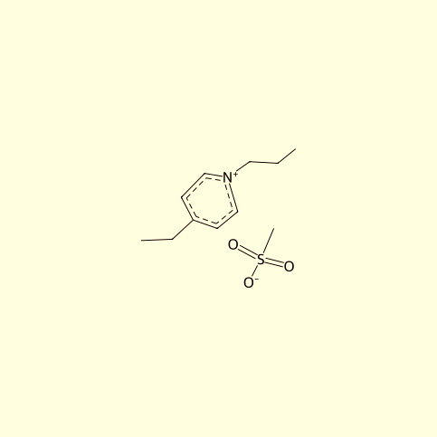 CCC[n+]1ccc(CC)cc1.CS(=O)(=O)[O-]